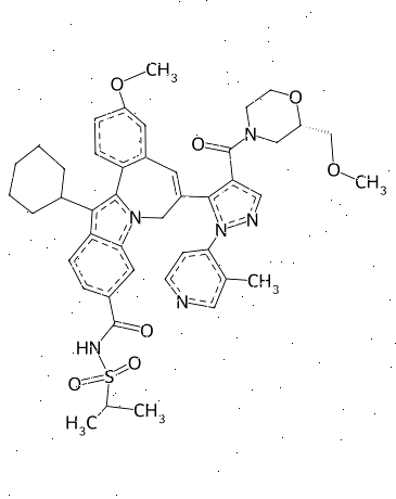 COC[C@@H]1CN(C(=O)c2cnn(-c3ccncc3C)c2C2=Cc3cc(OC)ccc3-c3c(C4CCCCC4)c4ccc(C(=O)NS(=O)(=O)C(C)C)cc4n3C2)CCO1